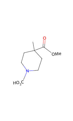 COC(=O)C1(C)CCN(C(=O)O)CC1